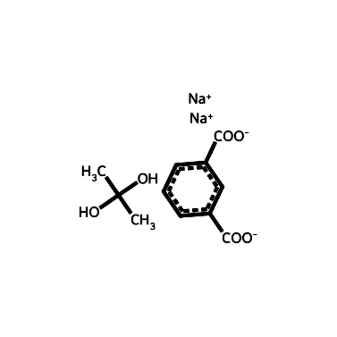 CC(C)(O)O.O=C([O-])c1cccc(C(=O)[O-])c1.[Na+].[Na+]